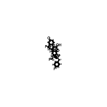 C[C@]12C=CC(=O)C=C1[C@@H](F)C[C@H]1[C@@H]3C[C@H]4CN(Cc5ccc(F)cc5)O[C@@]4(C(=O)OCF)[C@@]3(C)C[C@H](O)[C@@]12F